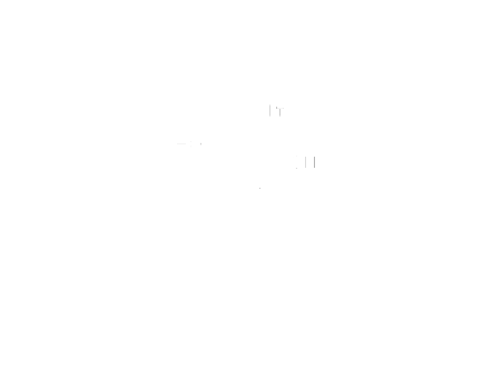 CC(C)C(O)C1(O)C=CC=CC1